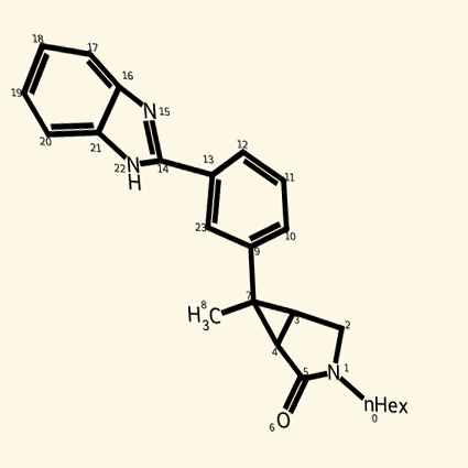 CCCCCCN1CC2C(C1=O)C2(C)c1cccc(-c2nc3ccccc3[nH]2)c1